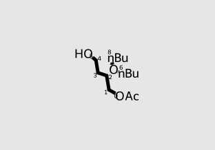 CC(=O)OCCCCO.CCCCOCCCC